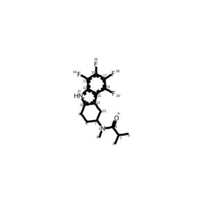 CC(C)C(=O)N(C)C1CCc2[nH]c3c(F)c(F)c(F)c(F)c3c2C1